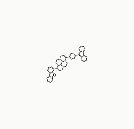 c1ccc2c(c1)oc1c(-c3ccc4ccc5c(-c6ccc(-n7c8ccccc8c8ccccc87)cc6)ccc6ccc3c4c65)cccc12